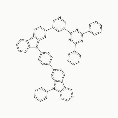 c1ccc(-c2nc(-c3ccccc3)nc(-c3cncc(-c4ccc5c6ccccc6n(-c6ccc(-c7ccc8c9ccccc9n(-c9ccccc9)c8c7)cc6)c5c4)c3)n2)cc1